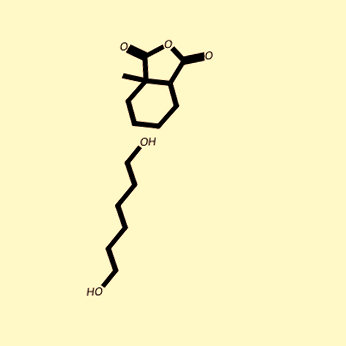 CC12CCCCC1C(=O)OC2=O.OCCCCCCO